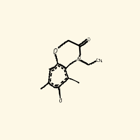 Cc1cc2c(c(C)c1Cl)N(CC#N)C(=O)CO2